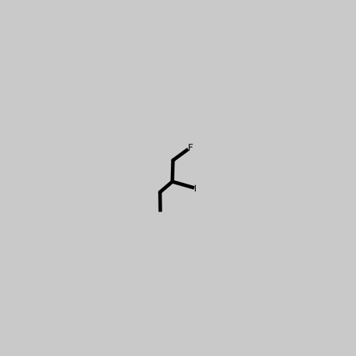 CCC(I)CF